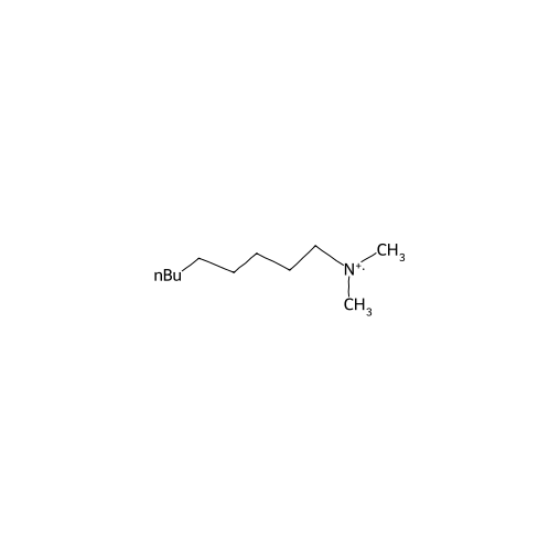 CCCCCCCCC[N+](C)C